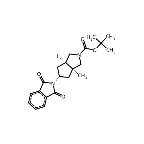 CC(C)(C)OC(=O)N1C[C@@H]2C[C@@H](N3C(=O)c4ccccc4C3=O)C[C@]2(C)C1